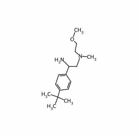 COCCN(C)CC(N)c1ccc(C(C)(C)C)cc1